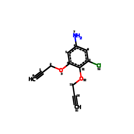 C#CCOc1cc(N)cc(Cl)c1OCC#C